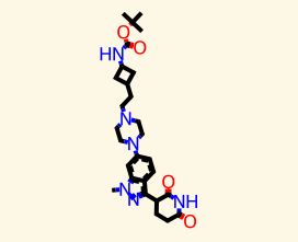 Cn1nc(C2CCC(=O)NC2=O)c2ccc(N3CCN(CCC4CC(NC(=O)OC(C)(C)C)C4)CC3)cc21